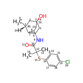 C[C@@H]1C[C@]2(O)CC=C1C(NC(=O)C(C)(C)Sc1ccc(Cl)cc1)C2